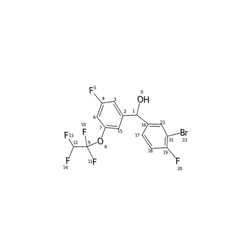 OC(c1cc(F)cc(OC(F)(F)C(F)F)c1)c1ccc(F)c(Br)c1